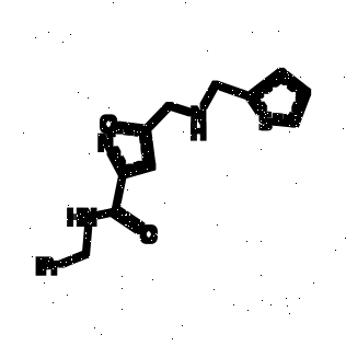 CC(C)CNC(=O)c1cc(CNCc2cccs2)on1